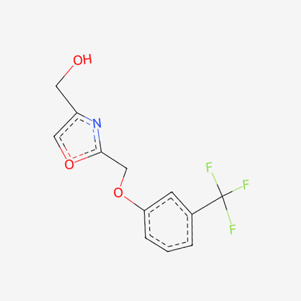 OCc1coc(COc2cccc(C(F)(F)F)c2)n1